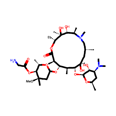 CC[C@H]1OC(=O)[C@H](C)[C@@H](OC2C[C@@](C)(OC)[C@@H](OC(=O)CN)[C@H](C)O2)[C@H](C)[C@@H](O[C@@H]2O[C@H](C)C[C@H](N(C)C)[C@H]2O)[C@](C)(O)C[C@@H](C)CN(C)[C@H](C)[C@@H](O)[C@]1(C)O